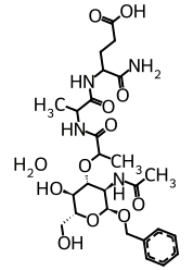 CC(=O)N[C@H]1[C@@H](OCc2ccccc2)O[C@H](CO)[C@@H](O)[C@@H]1OC(C)C(=O)NC(C)C(=O)NC(CCC(=O)O)C(N)=O.O